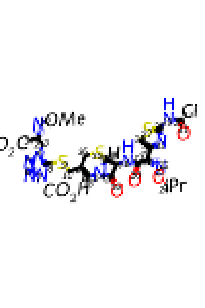 CO/N=C(\Cn1nnnc1SCC1=C(C(=O)O)N2C(=O)C(NC(=O)/C(=N\OC(C)C)c3csc(NC(=O)C(F)(F)F)n3)[C@H]2SC1)C(=O)O